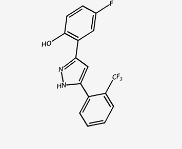 Oc1ccc(F)cc1-c1cc(-c2ccccc2C(F)(F)F)[nH]n1